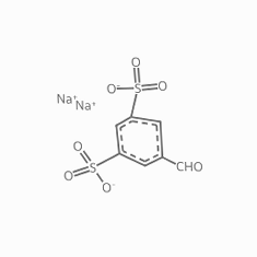 O=Cc1cc(S(=O)(=O)[O-])cc(S(=O)(=O)[O-])c1.[Na+].[Na+]